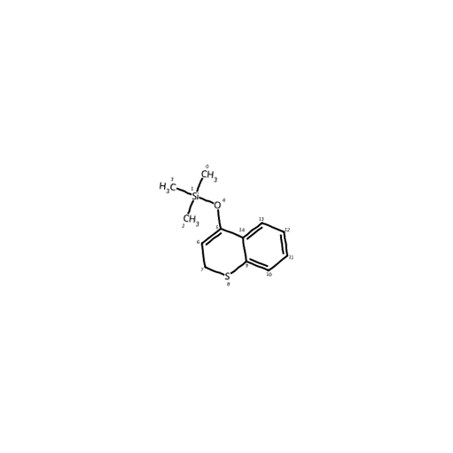 C[Si](C)(C)OC1=CCSc2ccccc21